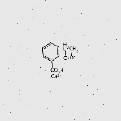 C[O-].C[O-].O=C(O)c1ccccc1.[Ca+2]